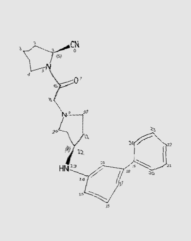 N#C[C@@H]1CCCN1C(=O)CN1CC[C@@H](Nc2cccc(-c3ccccc3)c2)C1